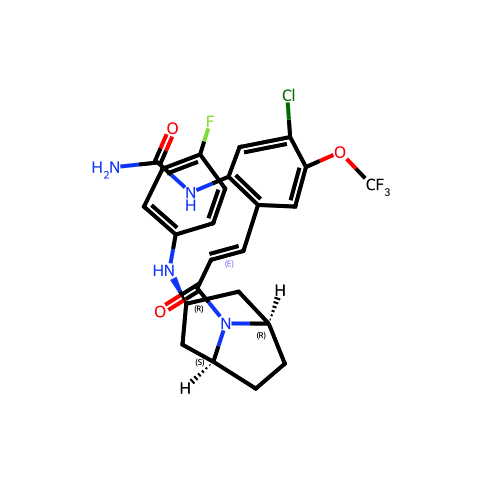 NC(=O)Nc1cc(Cl)c(OC(F)(F)F)cc1/C=C/C(=O)N1[C@@H]2CC[C@H]1C[C@@H](Nc1ccc(F)cc1)C2